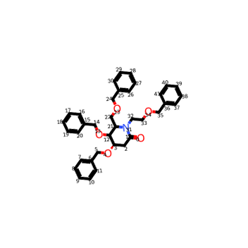 O=C1C[C@@H](OCc2ccccc2)C(OCc2ccccc2)C(COCc2ccccc2)N1CCOCc1ccccc1